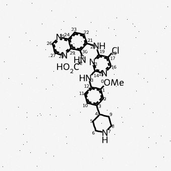 COc1cc(C2CCNCC2)ccc1Nc1ncc(Cl)c(Nc2ccc3nccnc3c2NC(=O)O)n1